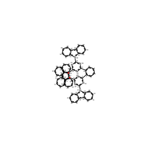 c1ccc(-c2nc(-n3c4ccccc4c4ccccc43)nc(-n3c4ccccc4c4ccccc43)n2)c(-c2nc(-n3c4ccccc4c4ccccc43)nc(-n3c4ccccc4c4ccccc43)n2)c1